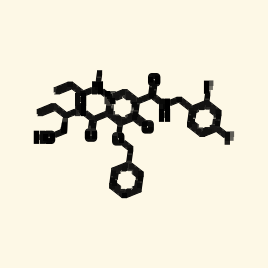 C=CCN(C)n1cc(C(=O)NCc2ccc(F)cc2F)c(=O)c(OCc2ccccc2)c1C(=O)N[C@H](C=C)CO